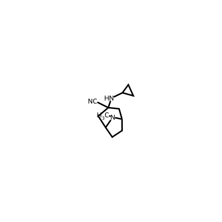 CN1C2CCC1CC(C#N)(NC1CC1)C2